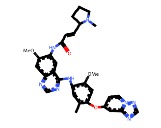 COc1cc2ncnc(Nc3cc(C)c(Oc4ccn5ncnc5c4)cc3OC)c2cc1NC(=O)/C=C/C1CCCN1C